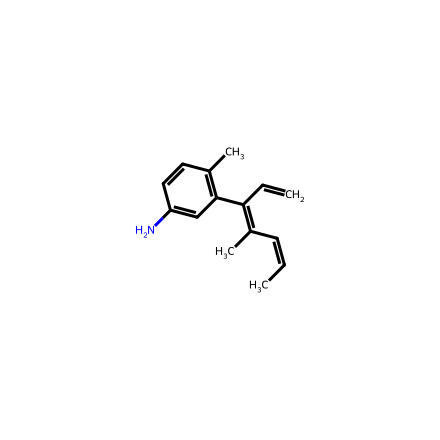 C=C/C(=C(C)\C=C/C)c1cc(N)ccc1C